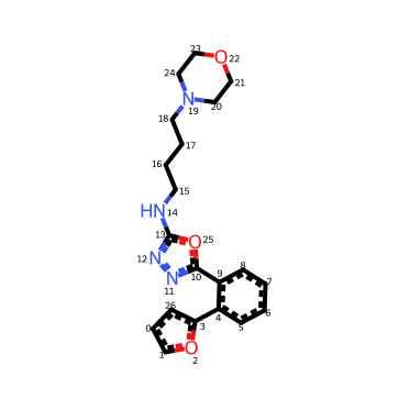 c1coc(-c2ccccc2-c2nnc(NCCCCN3CCOCC3)o2)c1